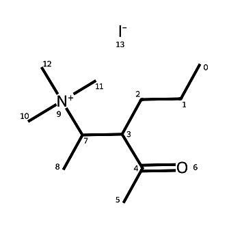 CCCC(C(C)=O)C(C)[N+](C)(C)C.[I-]